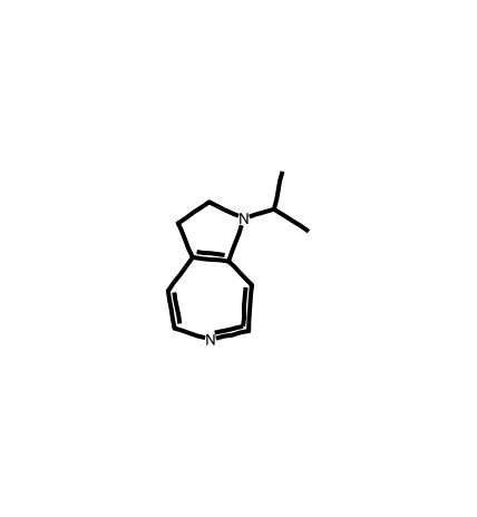 CC(C)N1CCC2=C1C=C=NC=C2